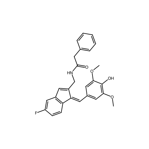 COc1cc(C=C2C(CNC(=O)Cc3ccccc3)=Cc3cc(F)ccc32)cc(OC)c1O